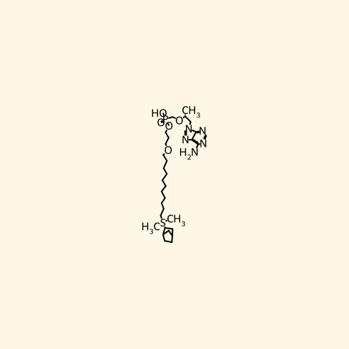 C[C@H](Cn1cnc2c(N)ncnc21)OCP(=O)(O)OCCCOCCCCCCCCCCCS(C)(C)C1CC2CCC1C2